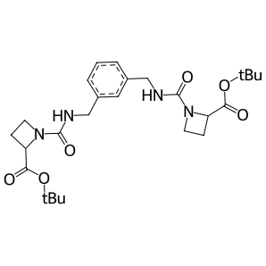 CC(C)(C)OC(=O)C1CCN1C(=O)NCc1cccc(CNC(=O)N2CCC2C(=O)OC(C)(C)C)c1